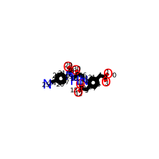 COC(=O)Cc1ccc(CC(=O)OC)c(NCC2CN(c3ccc(C#N)cc3)C(=O)O2)c1